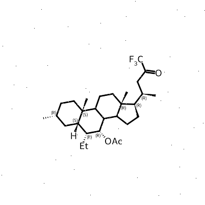 CC[C@H]1[C@@H](OC(C)=O)C2C3CC[C@H]([C@H](C)CC(=O)C(F)(F)F)[C@@]3(C)CCC2[C@@]2(C)CC[C@@H](C)C[C@@H]12